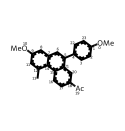 COc1ccc(-c2cc3cc(OC)cc(C)c3c3ccc(C(C)=O)cc23)cc1